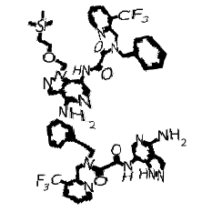 C[Si](C)(C)CCOCn1ncc2c(N)ncc(NC(=O)C(=O)N(Cc3ccccc3)Cc3ncccc3C(F)(F)F)c21.Nc1ncc(NC(=O)C(=O)N(Cc2ccccc2)Cc2ncccc2C(F)(F)F)c2[nH]ncc12